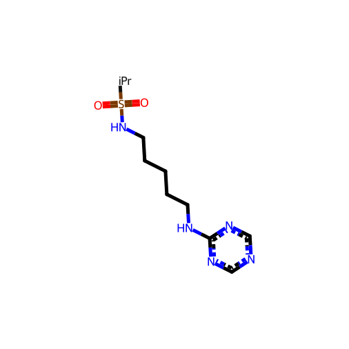 CC(C)S(=O)(=O)NCCCCCNc1ncncn1